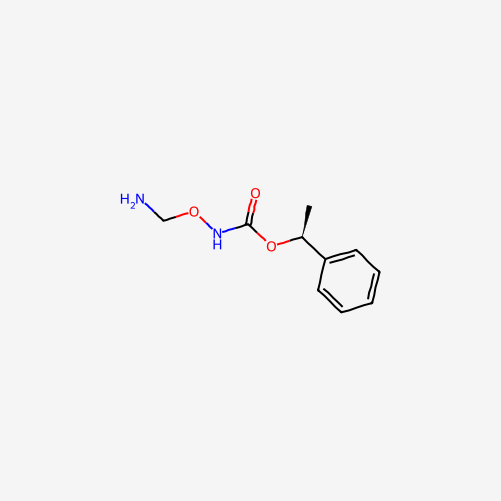 C[C@H](OC(=O)NOCN)c1ccccc1